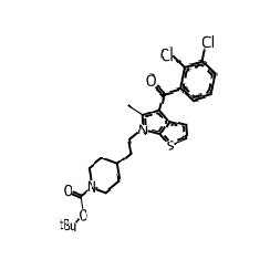 Cc1c(C(=O)c2cccc(Cl)c2Cl)c2ccsc2n1CCC1CCN(C(=O)OC(C)(C)C)CC1